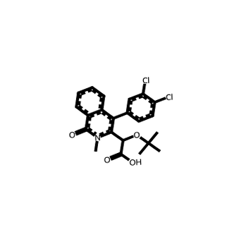 Cn1c(C(OC(C)(C)C)C(=O)O)c(-c2ccc(Cl)c(Cl)c2)c2ccccc2c1=O